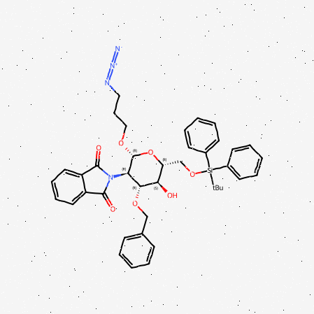 CC(C)(C)[Si](OC[C@H]1O[C@@H](OCCCN=[N+]=[N-])[C@H](N2C(=O)c3ccccc3C2=O)[C@@H](OCc2ccccc2)[C@@H]1O)(c1ccccc1)c1ccccc1